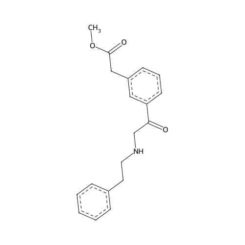 COC(=O)Cc1cccc(C(=O)CNCCc2ccccc2)c1